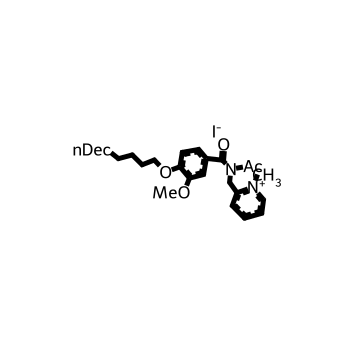 CCCCCCCCCCCCCCOc1ccc(C(=O)N(Cc2cccc[n+]2C)C(C)=O)cc1OC.[I-]